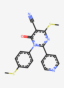 CSc1ccc(-n2c(-c3ccncc3)nc(SC)c(C#N)c2=O)cc1